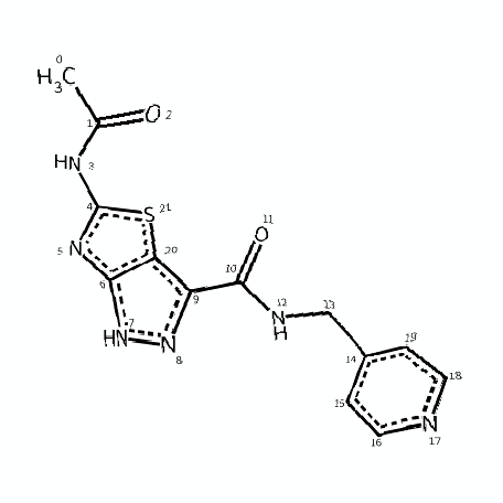 CC(=O)Nc1nc2[nH]nc(C(=O)NCc3ccncc3)c2s1